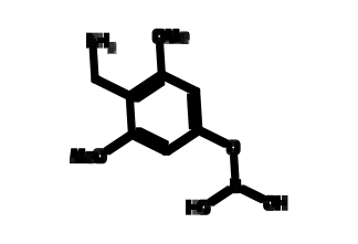 COc1cc(OB(O)O)cc(OC)c1CN